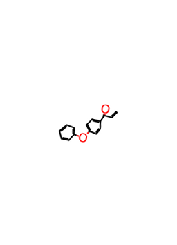 C=CC(=O)c1ccc(Oc2ccccc2)cc1